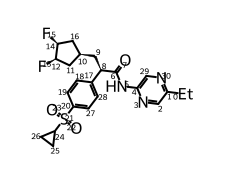 CCc1cnc(NC(=O)[C@H](C[C@H]2C[C@@H](F)[C@@H](F)C2)c2ccc(S(=O)(=O)C3CC3)cc2)cn1